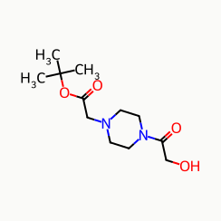 CC(C)(C)OC(=O)CN1CCN(C(=O)CO)CC1